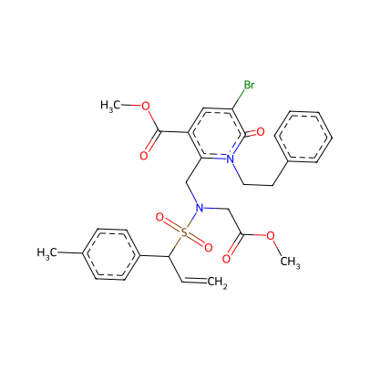 C=CC(c1ccc(C)cc1)S(=O)(=O)N(CC(=O)OC)Cc1c(C(=O)OC)cc(Br)c(=O)n1CCc1ccccc1